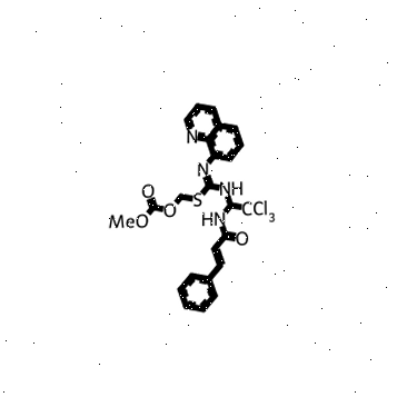 COC(=O)OCS/C(=N/c1cccc2cccnc12)NC(NC(=O)/C=C/c1ccccc1)C(Cl)(Cl)Cl